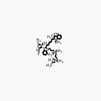 C=C1SC=CN1C.CCC[N+](C)(C)CCC[N+](C)(C)CCC[n+]1c(C=CC=CC=C2N(C)c3ccccc3C2(C)C)sc2ccccc21.I.[I-].[I-].[I-]